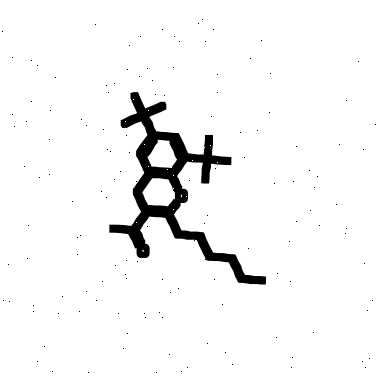 CCCCCCC1=C(C(C)=O)Cc2cc(C(C)(C)C)cc(C(C)(C)C)c2O1